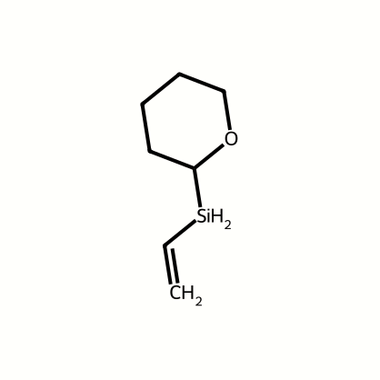 C=C[SiH2]C1CCCCO1